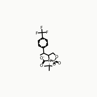 CC(c1ccc(C(F)(F)F)cc1)C1COS(=O)(=O)[N@+]1(C(=O)[O-])C(C)(C)C